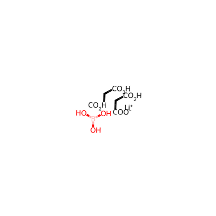 O=C(O)CC(=O)O.O=C([O-])CC(=O)O.OB(O)O.[Li+]